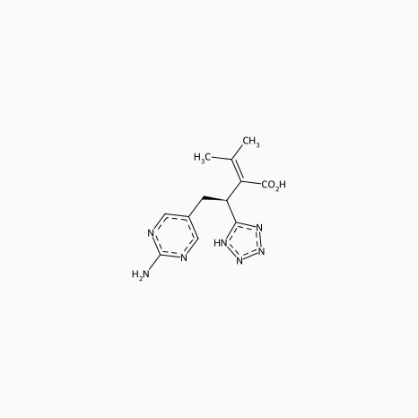 CC(C)=C(C(=O)O)[C@H](Cc1cnc(N)nc1)c1nnn[nH]1